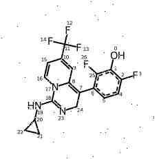 Oc1c(F)ccc(C2=C3C=C(C(F)(F)F)C=CN3C(NC3CC3)=NC2)c1F